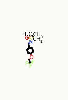 CC(C)(C)[S+]([O-])/N=C/c1ccc(OCC(F)(F)F)cc1